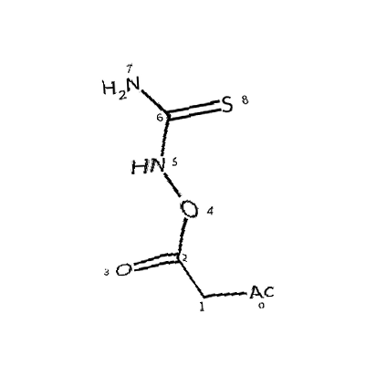 CC(=O)CC(=O)ONC(N)=S